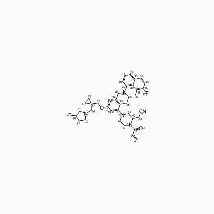 C=CC(=O)N1CCN(c2nc(OCC3(CN4CCC(F)C4)CC3)nc3c2CCN(c2cccc4ccc(F)c(C)c24)C3)CC1CC#N